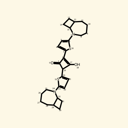 O=C1C(c2ccc(N3CCCCC4CCC43)s2)=C(O)C1c1ccc(N2CCCCC3CCC32)s1